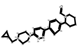 O=CN1CCCCC1c1ccc(-c2ccc(N3CCN(CC4CC4)CC3)nn2)cc1